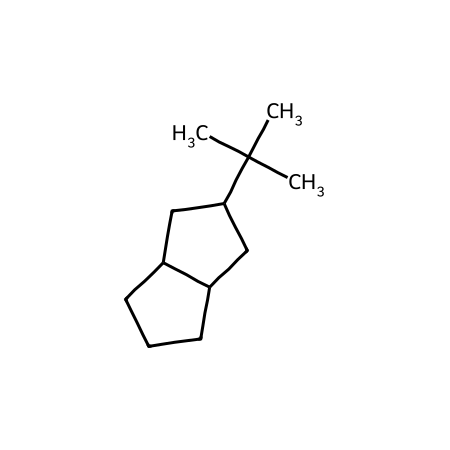 CC(C)(C)C1CC2CCCC2C1